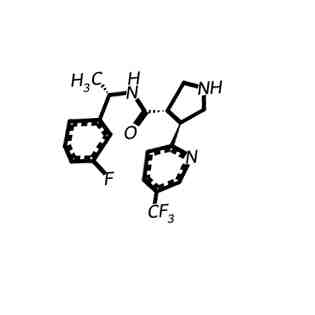 C[C@H](NC(=O)[C@@H]1CNC[C@H]1c1ccc(C(F)(F)F)cn1)c1cccc(F)c1